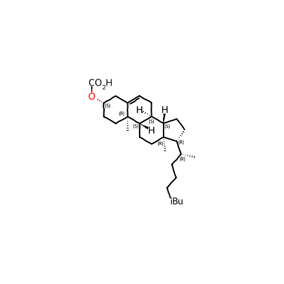 CCC(C)CCC[C@@H](C)[C@H]1CC[C@H]2[C@@H]3CC=C4C[C@@H](OC(=O)O)CC[C@]4(C)[C@H]3CC[C@]12C